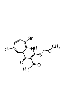 COCSC1=C(C(C)=O)C(=O)C2C=C(Cl)C=CC(Br)=C2N1